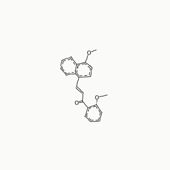 COc1ccccc1C(=O)/C=C/c1ccc(OC)c2ccccc12